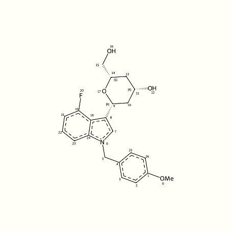 COc1ccc(Cn2cc([C@H]3C[C@@H](O)C[C@@H](CO)O3)c3c(F)cccc32)cc1